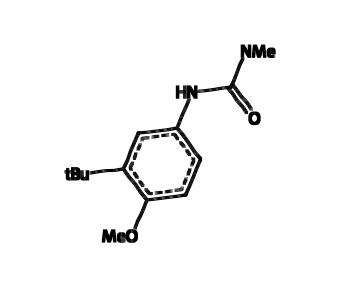 CNC(=O)Nc1ccc(OC)c(C(C)(C)C)c1